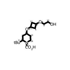 CC(C)(C)C1CC(OC2CC(OCCO)C2)CCN1C(=O)O